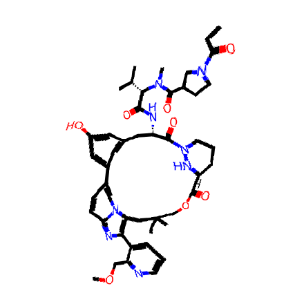 C=CC(=O)N1CCC(C(=O)N(C)[C@H](C(=O)N[C@H]2Cc3cc(O)cc(c3)-c3ccc4nc(-c5cccnc5COC)c(n4c3)CC(C)(C)COC(=O)[C@@H]3CCCN(N3)C2=O)C(C)C)C1